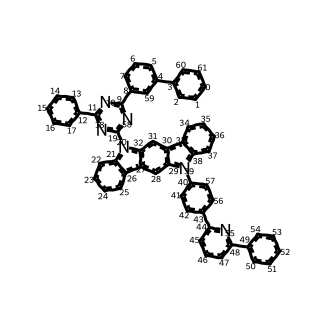 c1ccc(-c2cccc(-c3nc(-c4ccccc4)nc(-n4c5ccccc5c5cc6c(cc54)c4ccccc4n6-c4ccc(-c5cccc(-c6ccccc6)n5)cc4)n3)c2)cc1